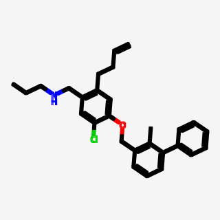 C=CCCc1cc(OCc2cccc(-c3ccccc3)c2C)c(Cl)cc1CNCCC